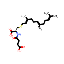 CC(C)=CCCC(C)=CCCC(C)=CCSC[C@H](NC(=O)CCC(=O)O)C(=O)O